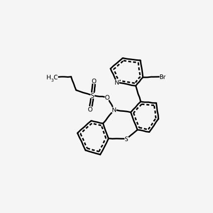 CCCS(=O)(=O)ON1c2ccccc2Sc2cccc(-c3ncccc3Br)c21